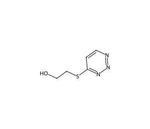 OCCSc1ccnnn1